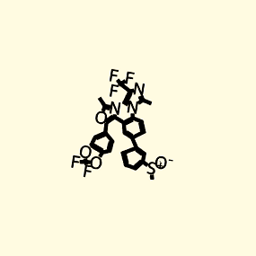 Cc1nc(-c2cc(-c3cccc([S+](C)[O-])c3)ccc2-n2cc(C(F)(F)F)nc2C)c(-c2ccc3c(c2)OC(F)(F)O3)o1